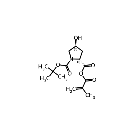 C=C(C)C(=O)OC(=O)[C@H]1C[C@H](O)CN1C(=O)OC(C)(C)C